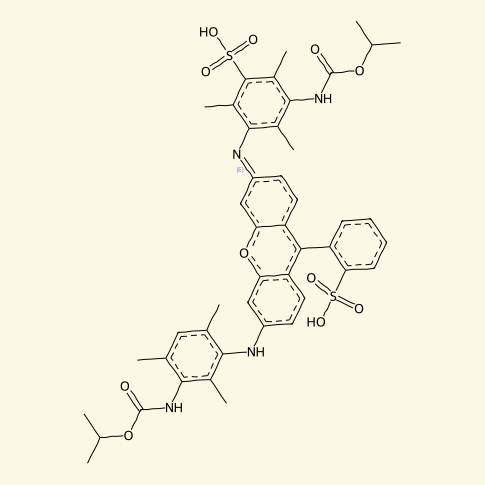 Cc1cc(C)c(Nc2ccc3c(-c4ccccc4S(=O)(=O)O)c4cc/c(=N\c5c(C)c(NC(=O)OC(C)C)c(C)c(S(=O)(=O)O)c5C)cc-4oc3c2)c(C)c1NC(=O)OC(C)C